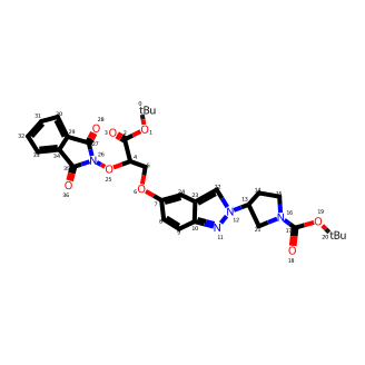 CC(C)(C)OC(=O)C(COc1ccc2nn(C3CCN(C(=O)OC(C)(C)C)C3)cc2c1)ON1C(=O)c2ccccc2C1=O